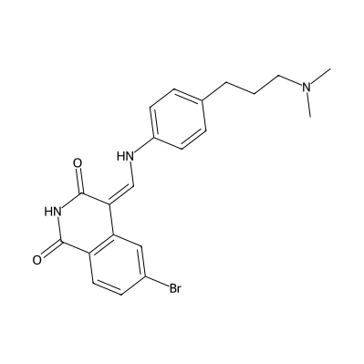 CN(C)CCCc1ccc(NC=C2C(=O)NC(=O)c3ccc(Br)cc32)cc1